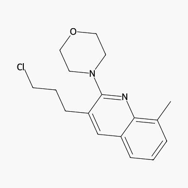 Cc1cccc2cc(CCCCl)c(N3CCOCC3)nc12